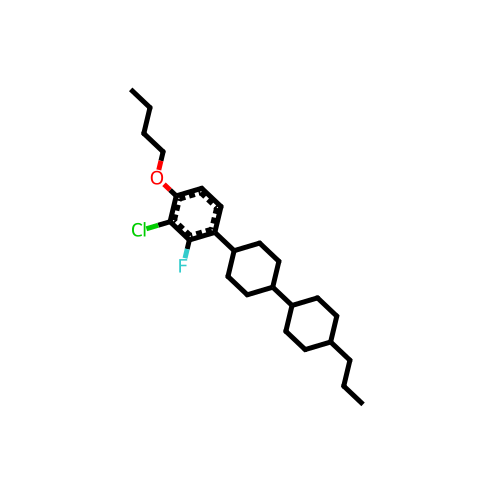 CCCCOc1ccc(C2CCC(C3CCC(CCC)CC3)CC2)c(F)c1Cl